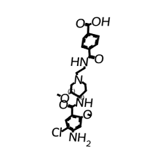 COc1cc(N)c(Cl)cc1C(=O)N[C@@H]1CCN(CCNC(=O)c2ccc(C(=O)O)cc2)C[C@@H]1OC